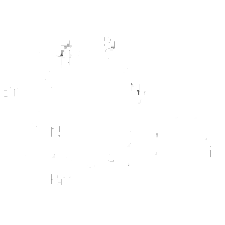 Brc1c2nc(c(Br)c3ccc(s3)c(-c3ccc(I)cc3)c3nc(c(Br)c4ccc1[nH]4)C=C3)C=C2